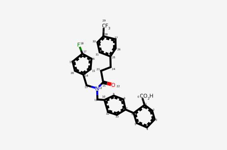 O=C(O)c1ccccc1-c1ccc(CN(Cc2ccc(F)cc2)C(=O)CCc2ccc(C(F)(F)F)cc2)cc1